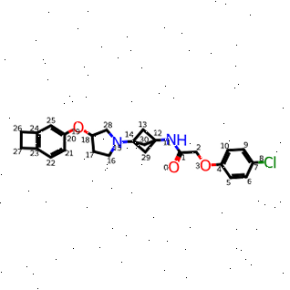 O=C(COc1ccc(Cl)cc1)NC12CC(N3CCC(Oc4ccc5c(c4)CC5)C3)(C1)C2